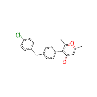 Cc1cc(=O)c(-c2ccc(Cc3ccc(Cl)cc3)cc2)c(C)o1